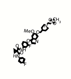 COc1cc2c(Oc3ccc(NC(=O)C4(C(=O)Nc5ccc(F)cc5)CC4)cc3F)ccnc2cc1OCC1CCN(CCS(C)(=O)=O)CC1